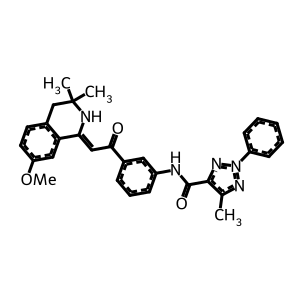 COc1ccc2c(c1)/C(=C/C(=O)c1cccc(NC(=O)c3nn(-c4ccccc4)nc3C)c1)NC(C)(C)C2